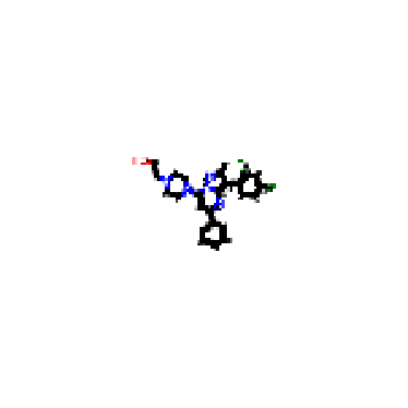 Cc1nn2c(N3CCN(CCO)CC3)cc(-c3ccccc3)nc2c1-c1ccc(F)cc1F